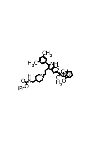 Cc1cc(C)cc(-c2[nH]c3sc(C(C)(C)CC4C5CCC4C(=O)N5)cc3c2CCN2CCC(CNC(=O)OC(C)C)CC2)c1